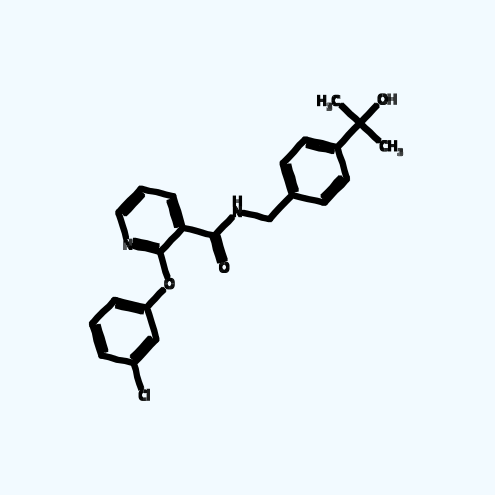 CC(C)(O)c1ccc(CNC(=O)c2cccnc2Oc2cccc(Cl)c2)cc1